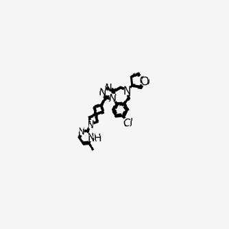 CC1=CC=NC(N2CC3(CC(c4nnc5n4-c4ccc(Cl)cc4CN([C@H]4CCOC4)C5)C3)C2)N1